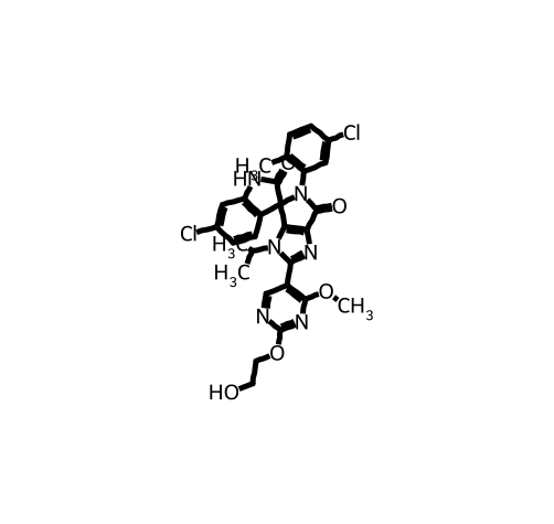 COc1nc(OCCO)ncc1-c1nc2c(n1C(C)C)C1(C(=O)Nc3cc(Cl)ccc31)N(c1cc(Cl)ccc1C)C2=O